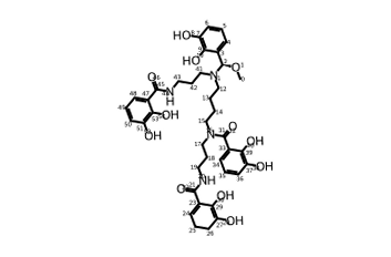 CO[C@H](c1cccc(O)c1O)N(CCCCN(CCCNC(=O)C1=CCCC(O)=C1O)C(=O)c1cccc(O)c1O)CCCNC(=O)c1cccc(O)c1O